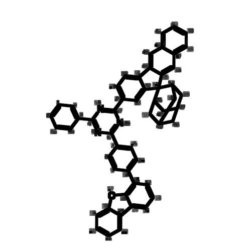 c1ccc(-c2nc(-c3ccc(-c4cccc5c4oc4ccccc45)cc3)nc(-c3ccc4c(c3)C3(c5cc6ccccc6cc5-4)C4CC5CC(C4)CC3C5)n2)cc1